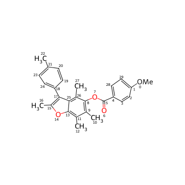 COc1ccc(C(=O)Oc2c(C)c(C)c3oc(C)c(-c4ccc(C)cc4)c3c2C)cc1